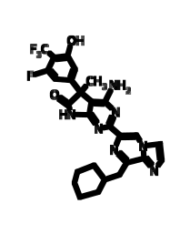 CC1(c2cc(O)c(C(F)(F)F)c(F)c2)C(=O)Nc2nc(-c3cn4ccnc4c(CC4CCCCC4)n3)nc(N)c21